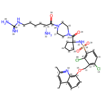 Cc1cc(C)c2cccc(OCc3c(Cl)ccc(S(=O)(=O)NC4(C(=O)N5CCN(C(=O)[C@H](N)CCCCNC(=N)N)CC5)CCCC4)c3Cl)c2n1